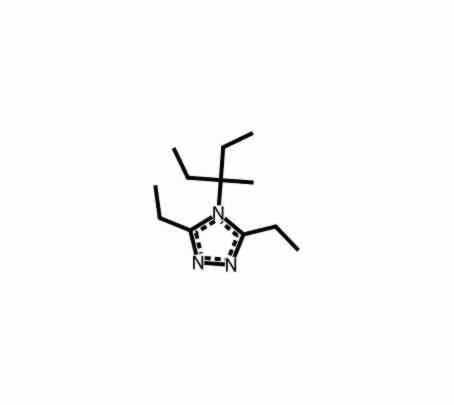 CCc1nnc(CC)n1C(C)(CC)CC